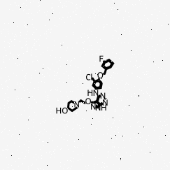 OC1CCN(CCOc2n[nH]c3ncnc(Nc4ccc(OCc5cccc(F)c5)c(Cl)c4)c23)CC1